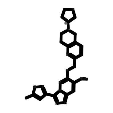 COc1cc2nnc(-c3cc(C)on3)n2nc1OCc1ccc2c(n1)CCN([C@H]1CCOC1)C2